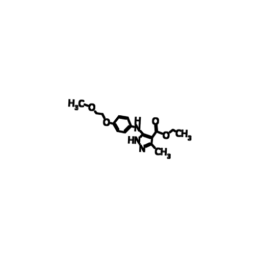 CCOC(=O)c1c(C)n[nH]c1Nc1ccc(OCCOC)cc1